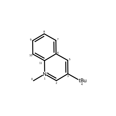 C[n+]1cc(C(C)(C)C)cc2ccccc21